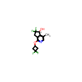 Cc1cnc(OC2CC(F)(F)C2)c2c1[C@H](O)C(F)(F)C2